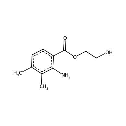 Cc1ccc(C(=O)OCCO)c(N)c1C